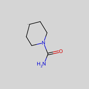 NC(=O)N1CC[CH]CC1